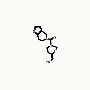 N#CC=C1CCN(C(=O)N2CCc3sccc3C2)CC1